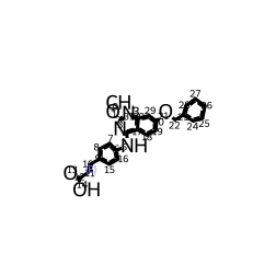 COc1nc(Nc2ccc(/C=C/C(=O)O)cc2)c2ccc(OCc3ccccc3)cc2n1